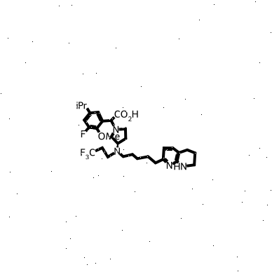 COc1c(F)cc(C(C)C)cc1C(C(=O)O)N1CC[C@@H](N(CCCCCc2ccc3c(n2)NCCC3)CCC(F)(F)F)C1